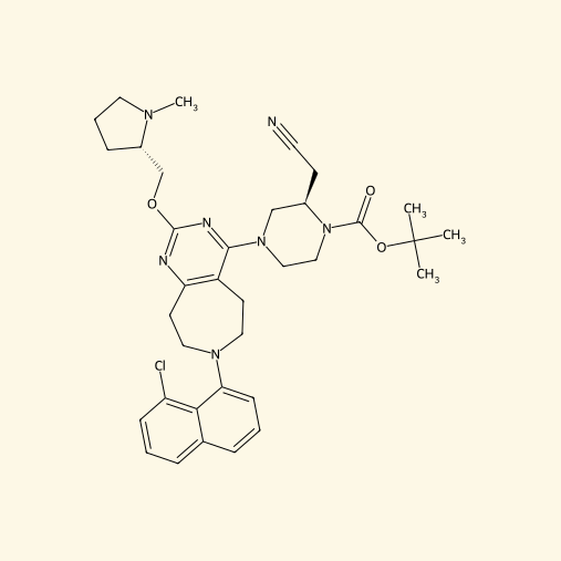 CN1CCC[C@H]1COc1nc2c(c(N3CCN(C(=O)OC(C)(C)C)[C@H](CC#N)C3)n1)CCN(c1cccc3cccc(Cl)c13)CC2